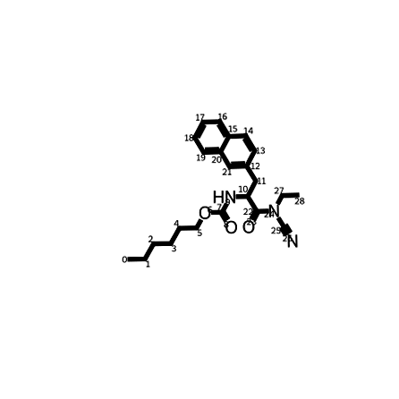 CCCCCCOC(=O)NC(Cc1ccc2ccccc2c1)C(=O)N(C#N)CC